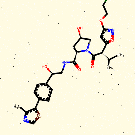 Cc1ncsc1-c1ccc([C@@H](O)CNC(=O)[C@H]2C[C@@H](O)CN2C(=O)[C@H](c2cc(OCCBr)no2)C(C)C)cc1